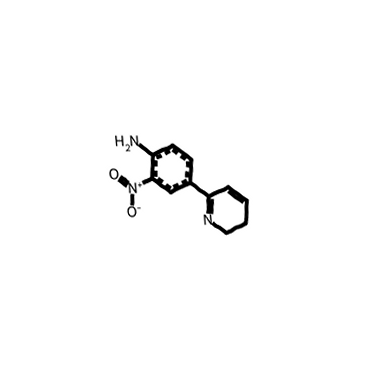 Nc1ccc(C2=NCCC=C2)cc1[N+](=O)[O-]